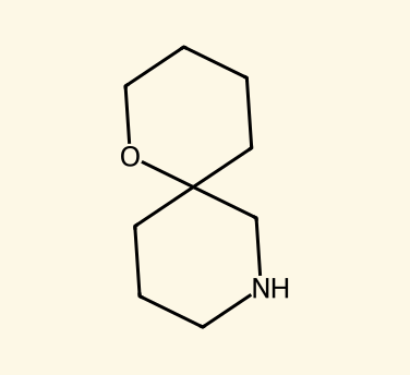 C1CCC2(CCCNC2)OC1